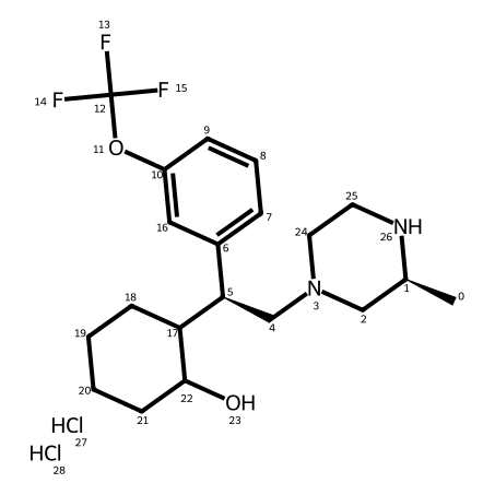 C[C@H]1CN(C[C@H](c2cccc(OC(F)(F)F)c2)C2CCCCC2O)CCN1.Cl.Cl